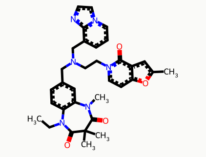 CCN1C(=O)C(C)(C)C(=O)N(C)c2cc(CN(CCn3ccc4oc(C)cc4c3=O)Cc3cccn4ccnc34)ccc21